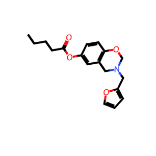 CCCCC(=O)Oc1ccc2c(c1)CN(Cc1ccco1)CO2